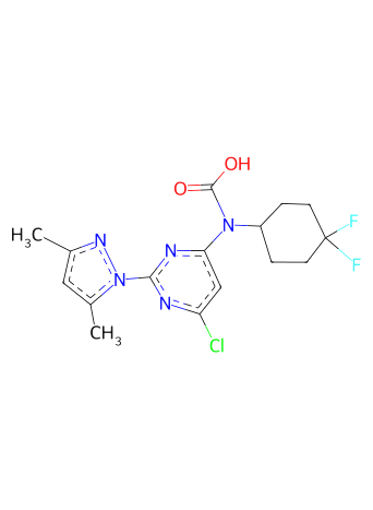 Cc1cc(C)n(-c2nc(Cl)cc(N(C(=O)O)C3CCC(F)(F)CC3)n2)n1